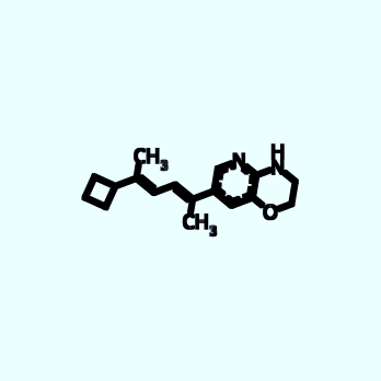 C/C(=C\C=C(/C)C1CCC1)c1cnc2c(c1)OCCN2